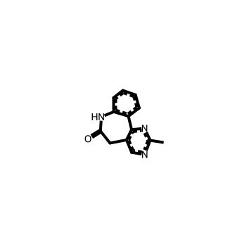 Cc1ncc2c(n1)-c1ccccc1NC(=O)C2